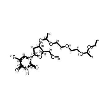 CCOC(C)OCCOCCOC(C)O[C@@H]1C[C@H](n2cc(F)c(=O)[nH]c2=O)O[C@@H]1COC